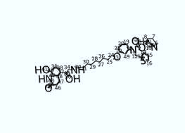 O=C(O[C@H]1CN2CCC1CC2)N(Cc1cccs1)c1cccc(OCCCCCCCCCNC[C@H](O)c2ccc(O)c3[nH]c(=O)ccc23)c1